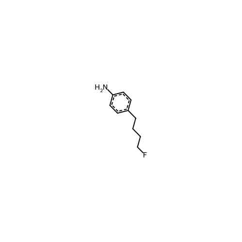 Nc1ccc(CCCCF)cc1